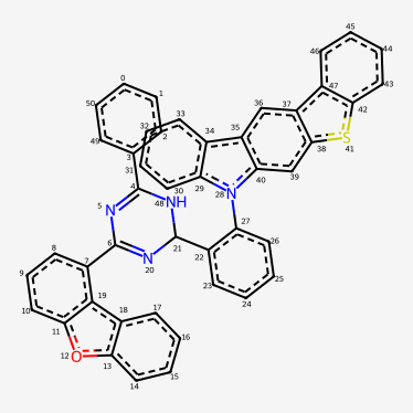 c1ccc(C2=NC(c3cccc4oc5ccccc5c34)=NC(c3ccccc3-n3c4ccccc4c4cc5c(cc43)sc3ccccc35)N2)cc1